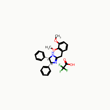 COc1cccc(CC2=N[C@H](c3ccccc3)[C@H](c3ccccc3)N2)c1OC.O=C(O)C(F)(F)F